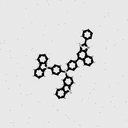 c1ccc(-c2nc3c(cc(-c4ccc(N(c5ccc(-n6c7ccccc7c7ccccc76)cc5)c5ccc6oc7ccccc7c6c5)cc4)c4ccccc43)o2)cc1